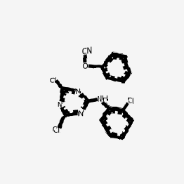 Clc1nc(Cl)nc(Nc2ccccc2Cl)n1.N#COc1ccccc1